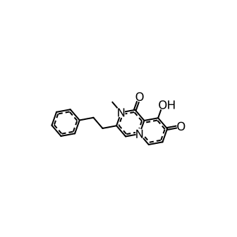 Cn1c(CCc2ccccc2)cn2ccc(=O)c(O)c2c1=O